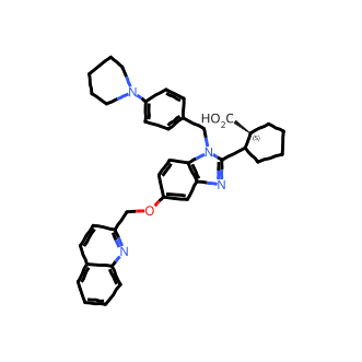 O=C(O)[C@H]1CCCCC1c1nc2cc(OCc3ccc4ccccc4n3)ccc2n1Cc1ccc(N2CCCCC2)cc1